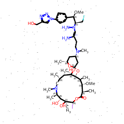 CO[C@H]1[C@H](C)[C@@H](O[C@H]2C[C@@H](N(C)CC/C(N)=C/N(N)[C@H](CF)[C@H](OC)c3ccc(-n4cc(CO)nn4)cc3)C[C@@H](C)O2)[C@](C)(O)C[C@@H](C)CN(C)[C@H](C)[C@@H](O)[C@](C)(O)[C@@H](I)OC(=O)[C@@H]1C